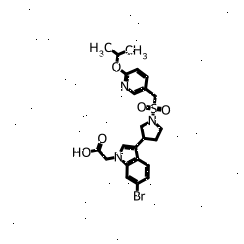 CC(C)Oc1ccc(CS(=O)(=O)N2CCC(c3cn(CC(=O)O)c4cc(Br)ccc34)C2)cn1